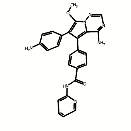 COc1c(-c2ccc(N)cc2)c(-c2ccc(C(=O)Nc3ccccn3)cc2)c2c(N)ncnn12